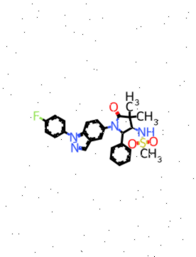 CC1(C)C(=O)N(c2ccc3c(cnn3-c3ccc(F)cc3)c2)C(c2ccccc2)[C@@H]1NS(C)(=O)=O